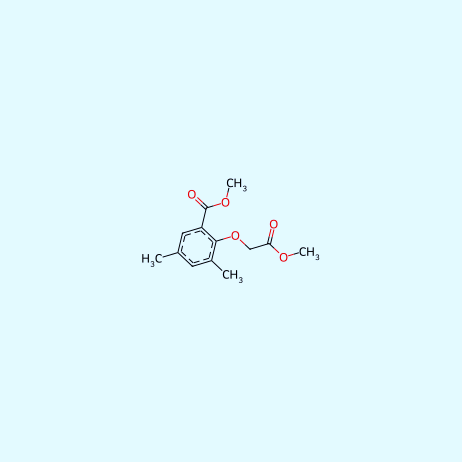 COC(=O)COc1c(C)cc(C)cc1C(=O)OC